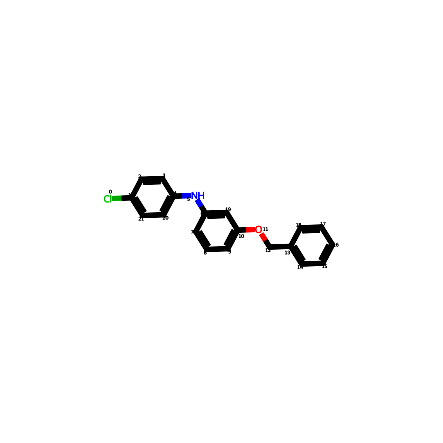 Clc1ccc(Nc2cccc(OCc3ccccc3)c2)cc1